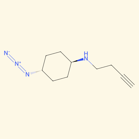 C#CCCN[C@H]1CC[C@H](N=[N+]=[N-])CC1